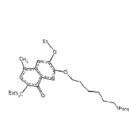 CCCC(C)CCCCCCOc1cc2c(=O)c(C(=O)OCC)cn(C)c2cc1OCC